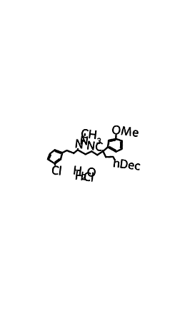 CCCCCCCCCCCCC(C#N)(CCCC(CCc1cccc(Cl)c1)N=NC)c1cccc(OC)c1.Cl.O